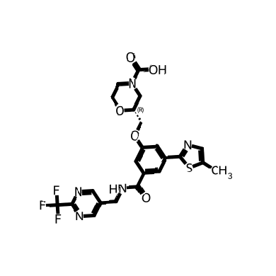 Cc1cnc(-c2cc(OC[C@H]3CN(C(=O)O)CCO3)cc(C(=O)NCc3cnc(C(F)(F)F)nc3)c2)s1